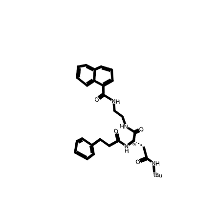 CC(C)(C)NC(=O)C[C@H](NC(=O)CCc1ccccc1)C(=O)NCCNC(=O)c1cccc2ccccc12